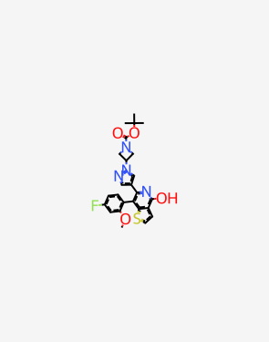 COc1cc(F)ccc1-c1c(-c2cnn(C3CN(C(=O)OC(C)(C)C)C3)c2)nc(O)c2ccsc12